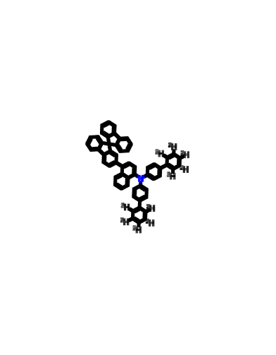 [2H]c1c([2H])c([2H])c(-c2ccc(N(c3ccc(-c4c([2H])c([2H])c([2H])c([2H])c4[2H])cc3)c3ccc(-c4ccc5c(c4)C4(c6ccccc6-c6ccccc64)c4ccccc4-5)c4ccccc34)cc2)c([2H])c1[2H]